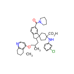 C[C@@H](COc1ccnc2c1[C@H](C)CCC2)CC1Cc2ccc(C(=O)N3CCCCC3)cc2C12CCC(Nc1cccc(Cl)c1)(C(=O)O)CC2